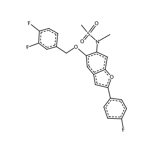 CN(c1cc2oc(-c3ccc(F)cc3)cc2cc1OCc1ccc(F)c(F)c1)S(C)(=O)=O